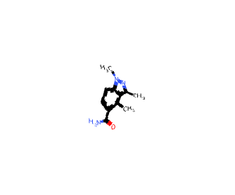 Cc1nn(C)c2ccc(C(N)=O)c(C)c12